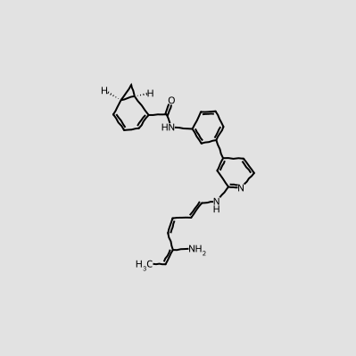 C\C=C(N)/C=C\C=C\Nc1cc(-c2cccc(NC(=O)C3=CC=C[C@H]4C[C@@H]34)c2)ccn1